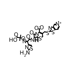 C[n+]1ccc2sc(SCC3=C(C(=O)[O-])N4C(=O)C(NC(=O)/C(=N\OC(C)(C)C(=O)O)c5csc(N)n5)[C@@H]4SC3)nc2c1